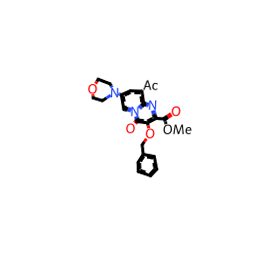 COC(=O)c1nc2c(C(C)=O)cc(N3CCOCC3)cn2c(=O)c1OCc1ccccc1